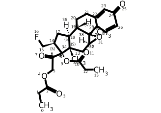 CCC(=O)OCC(=O)[C@@]1(OC(=O)CC)[C@@H](CF)C[C@H]2[C@@H]3CCC4=CC(=O)C=C[C@]4(C)[C@@]34O[C@H]4C[C@@]21C